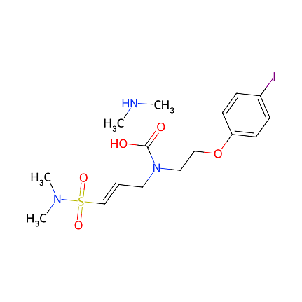 CN(C)S(=O)(=O)C=CCN(CCOc1ccc(I)cc1)C(=O)O.CNC